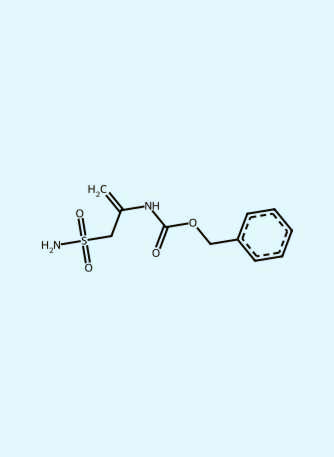 C=C(CS(N)(=O)=O)NC(=O)OCc1ccccc1